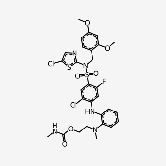 CNC(=O)OCCN(C)c1ccccc1Nc1cc(F)c(S(=O)(=O)N(Cc2ccc(OC)cc2OC)c2ncc(Cl)s2)cc1Cl